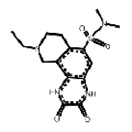 CCN1CCc2c(S(=O)(=O)N(C)C)cc3[nH]c(=O)c(=O)[nH]c3c2C1